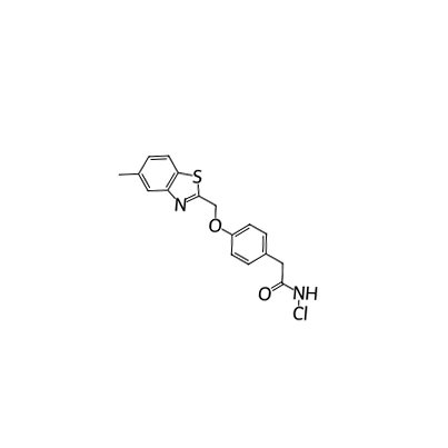 Cc1ccc2sc(COc3ccc(CC(=O)NCl)cc3)nc2c1